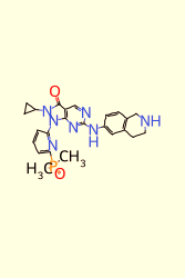 CP(C)(=O)c1cccc(-n2c3nc(Nc4ccc5c(c4)CCNC5)ncc3c(=O)n2C2CC2)n1